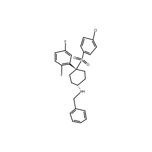 O=S(=O)(c1ccc(Cl)cc1)[C@]1(c2cc(F)ccc2F)CC[C@H](NCc2ccccc2)CC1